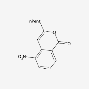 CCCCCc1cc2c([N+](=O)[O-])cccc2c(=O)o1